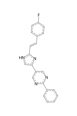 Fc1ccc(C=Cc2nc(-c3cnc(-c4ccccc4)nc3)c[nH]2)cc1